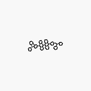 C(=C(c1ccccc1)c1ccccc1)c1ccc(-c2c3ccccc3c(-c3c4ccccc4c(-c4ccc5c(c4)c4ccccc4n5-c4ccccc4)c4ccccc34)c3ccccc23)cc1